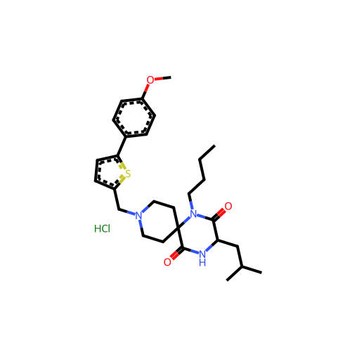 CCCCN1C(=O)C(CC(C)C)NC(=O)C12CCN(Cc1ccc(-c3ccc(OC)cc3)s1)CC2.Cl